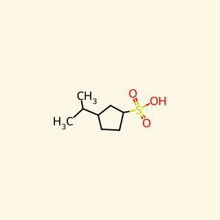 CC(C)C1CCC(S(=O)(=O)O)C1